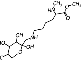 CNC(CCCCNCC1(O)OCC(C)C(O)C1O)C(=O)OC